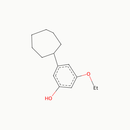 CCOc1cc(O)cc(C2CCCCCC2)c1